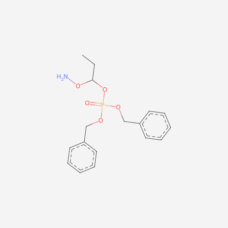 CCC(ON)OP(=O)(OCc1ccccc1)OCc1ccccc1